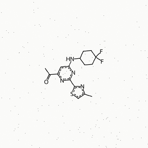 CC(=O)c1cc(NC2CCC(F)(F)CC2)nc(-c2nc(C)cs2)n1